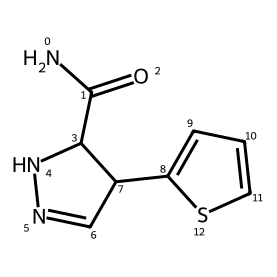 NC(=O)C1NN=CC1c1cccs1